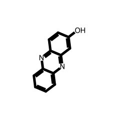 Oc1ccc2nc3ccccc3nc2c1